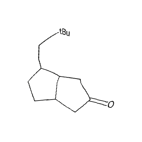 CC(C)(C)CC1CCC2CC(=O)CC21